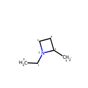 [CH2]CN1CCC1[CH2]